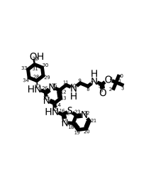 CC(C)(C)OC(=O)NCCNCc1cc(Nc2nc3cccnc3s2)nc(N[C@H]2CC[C@H](O)CC2)n1